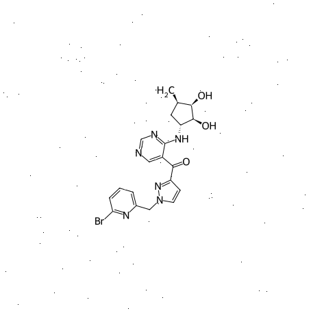 [CH2][C@@H]1C[C@@H](Nc2ncncc2C(=O)c2ccn(Cc3cccc(Br)n3)n2)[C@H](O)[C@@H]1O